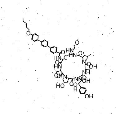 CCCCCOc1ccc(-c2ccc(-c3ccc(C(=O)NC4CCC(NCCOC)NC(=O)C5[C@@H](C)[C@@H](C)CN5C(=O)C([C@@H](C)O)NC(=O)C([C@H](O)[C@@H](O)c5ccc(O)cc5)NC(=O)C5C[C@@H](O)CN5C(=O)C([C@@H](C)O)NC4=O)cc3)cc2)cc1